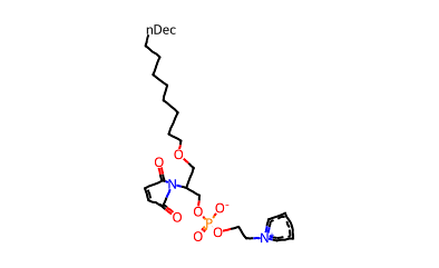 CCCCCCCCCCCCCCCCCCOCC(COP(=O)([O-])OCC[n+]1ccccc1)N1C(=O)C=CC1=O